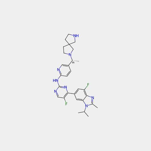 Cc1nc2c(F)cc(-c3nc(Nc4ccc([C@@H](C)N5CCC6(CCNC6)C5)cn4)ncc3F)cc2n1C(C)C